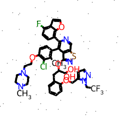 Cc1c(-c2c(-c3ccc(F)c4ccoc34)ncc3snc(OC(Cc4ccccc4OCc4ccnn4CC(F)(F)F)C(O)O)c23)ccc(OCCN2CCN(C)CC2)c1Cl